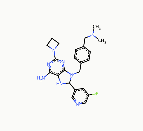 CN(C)Cc1ccc(CN2c3nc(N4CCC4)nc(N)c3NC2c2cncc(F)c2)cc1